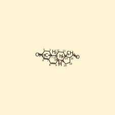 C[C@]12CCC(=O)C=C1C=C[C@@H]1[C@@H]2CC[C@]2(C)C(C=O)CC[C@@H]12